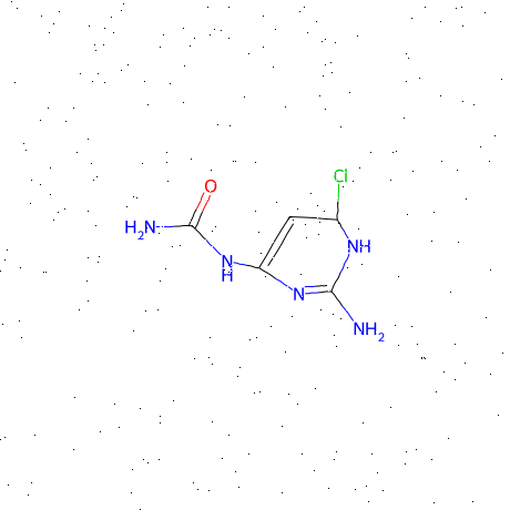 NC(=O)NC1=CC(Cl)NC(N)=N1